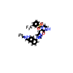 CC(C)CNCc1ccc2c(c1)CCC[C@@H]2n1cc(C[C@@H]2C(=O)NC=CN2S(=O)(=O)c2cccc(C(F)(F)F)c2)nn1